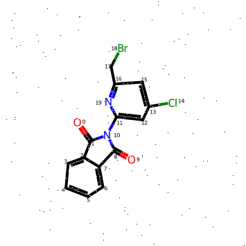 O=C1c2ccccc2C(=O)N1c1cc(Cl)cc(CBr)n1